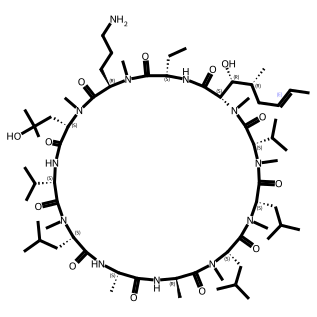 C/C=C/C[C@@H](C)[C@@H](O)[C@H]1C(=O)N[C@@H](CC)C(=O)N(C)[C@H](CCCN)C(=O)N(C)[C@@H](CC(C)(C)O)C(=O)N[C@@H](C(C)C)C(=O)N(C)[C@@H](CC(C)C)C(=O)N[C@@H](C)C(=O)N[C@H](C)C(=O)N(C)[C@@H](CC(C)C)C(=O)N(C)[C@@H](CC(C)C)C(=O)N(C)[C@@H](C(C)C)C(=O)N1C